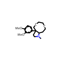 COc1ccc(C23CCCCCCCC2N(C)CC3)cc1OC